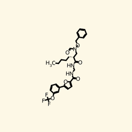 CCCCC[C@H](CN(C=O)OCc1ccccc1)C(=O)NCNC(=O)c1ccc(-c2cccc(OC(F)(F)F)c2)o1